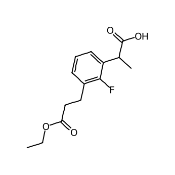 CCOC(=O)CCc1cccc(C(C)C(=O)O)c1F